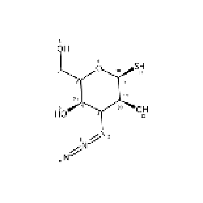 [N-]=[N+]=NC1[C@@H](O)C(CO)O[C@@H](S)[C@H]1O